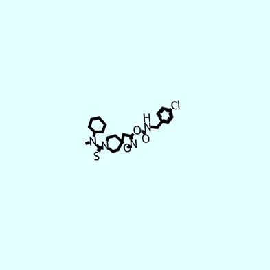 CN(C(=S)N1CCC2(CC1)CC(OC(=O)NCc1ccc(Cl)cc1)=NO2)C1CCCCC1